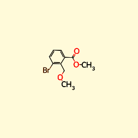 COCc1c(Br)cccc1C(=O)OC